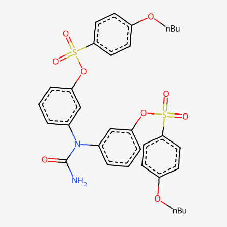 CCCCOc1ccc(S(=O)(=O)Oc2cccc(N(C(N)=O)c3cccc(OS(=O)(=O)c4ccc(OCCCC)cc4)c3)c2)cc1